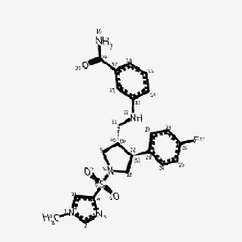 Cn1cnc(S(=O)(=O)N2C[C@H](CNc3cccc(C(N)=O)c3)[C@@H](c3ccc(F)cc3)C2)c1